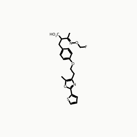 CC(=NOCF)C(Cc1ccc(OCCc2nc(-c3cccs3)oc2C)cc1)C(=O)O